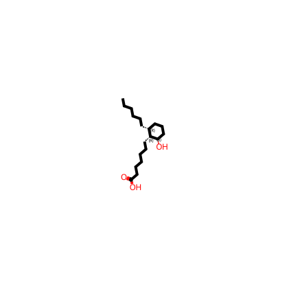 CCCCCC[C@@H]1CCC[C@H](O)[C@@H]1CCCCCCC(=O)O